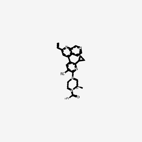 C=Cc1cc(-c2cc(C#N)c(N3CCN(C(=O)CCC)[C@H](C)C3)nc2C2CC2)c2ccncc2n1